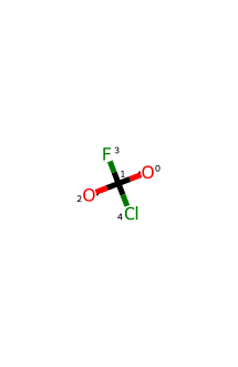 [O]C([O])(F)Cl